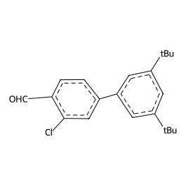 CC(C)(C)c1cc(-c2ccc(C=O)c(Cl)c2)cc(C(C)(C)C)c1